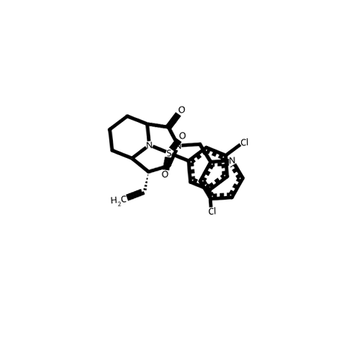 C=C[C@H]1CN(Cc2ccccn2)C(=O)C2CCCC1N2S(=O)(=O)c1cc(Cl)cc(Cl)c1